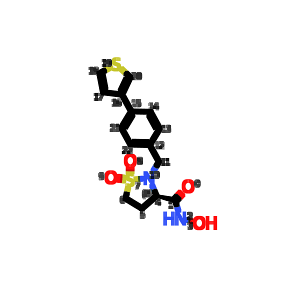 O=C(NO)[C@H]1CCS(=O)(=O)N1Cc1ccc(-c2ccsc2)cc1